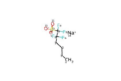 CCCCC(F)(F)C(F)(F)S(=O)(=O)[O-].[Na+]